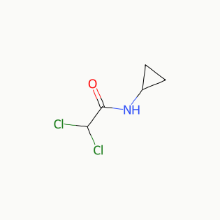 O=C(NC1CC1)C(Cl)Cl